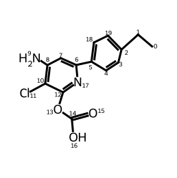 CCc1ccc(-c2cc(N)c(Cl)c(OC(=O)O)n2)cc1